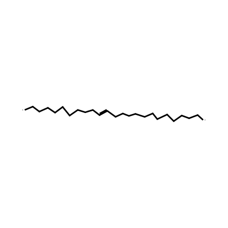 [CH2]CCCCCCCCCC=CCCCCCCCCCCCC[CH2]